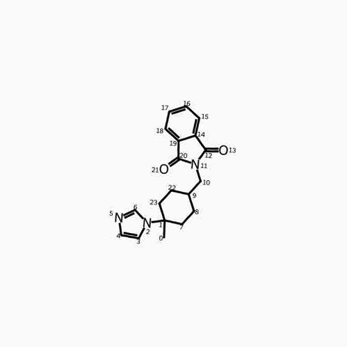 CC1(n2ccnc2)CCC(CN2C(=O)c3ccccc3C2=O)CC1